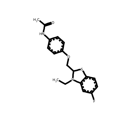 CCN1c2cc(F)ccc2SC1COc1ccc(NC(C)=O)cc1